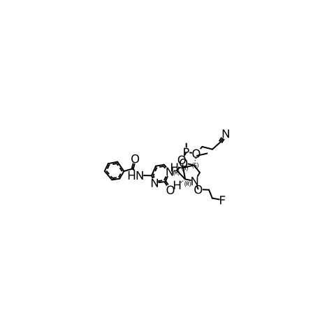 CC[C@@]12CN(OCCF)[C@@H]([C@H](n3ccc(NC(=O)c4ccccc4)nc3=O)O1)[C@@H]2OP(C)OCCC#N